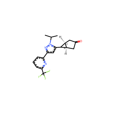 CC(C)n1nc(-c2cccc(C(F)(F)F)n2)cc1C1[C@H]2CC(=O)C[C@@H]12